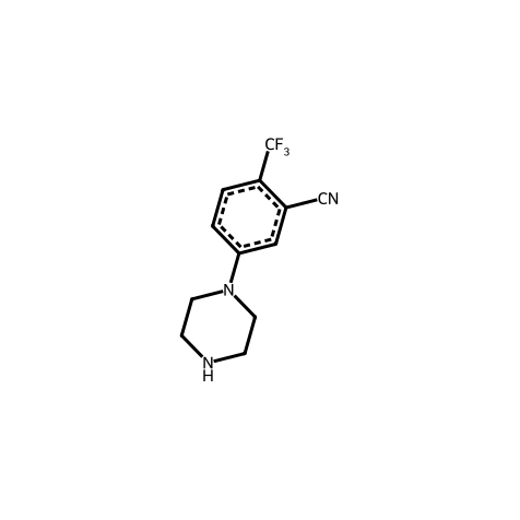 N#Cc1cc(N2CCNCC2)ccc1C(F)(F)F